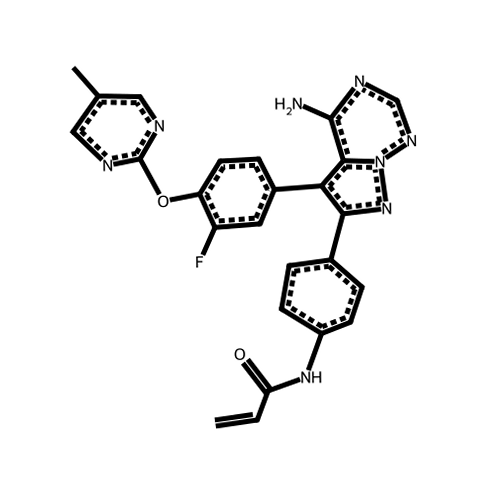 C=CC(=O)Nc1ccc(-c2nn3ncnc(N)c3c2-c2ccc(Oc3ncc(C)cn3)c(F)c2)cc1